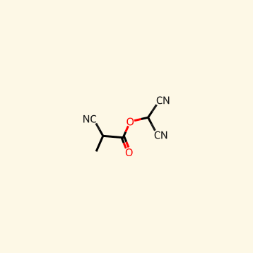 CC(C#N)C(=O)OC(C#N)C#N